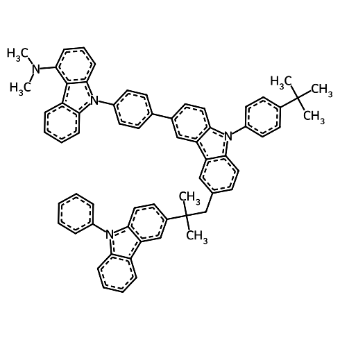 CN(C)c1cccc2c1c1ccccc1n2-c1ccc(-c2ccc3c(c2)c2cc(CC(C)(C)c4ccc5c(c4)c4ccccc4n5-c4ccccc4)ccc2n3-c2ccc(C(C)(C)C)cc2)cc1